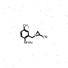 CC(=O)Nc1ccc(C)cc1CN1CC1C#N